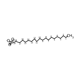 CCCCCCCCCCCCCCCCCCCCS([O])(=O)=O